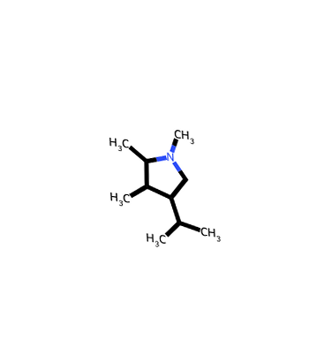 CC(C)C1CN(C)C(C)C1C